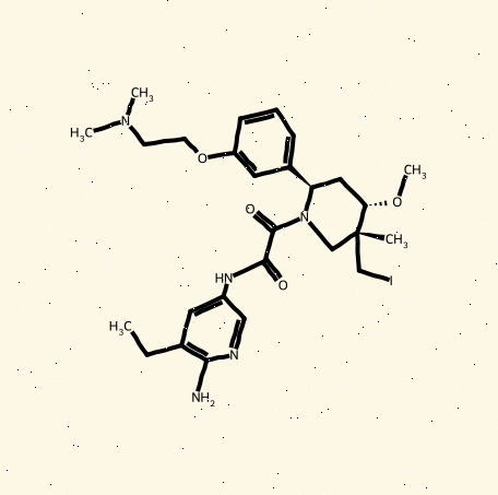 CCc1cc(NC(=O)C(=O)N2C[C@@](C)(CI)[C@@H](OC)C[C@@H]2c2cccc(OCCN(C)C)c2)cnc1N